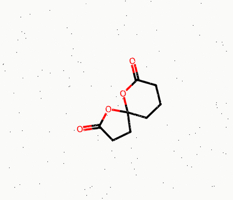 O=C1CCCC2(CCC(=O)O2)O1